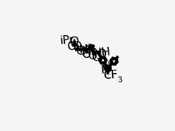 Cc1ccc(-c2cc(C(F)(F)F)nn2-c2ccc(S(=O)(=O)NC(=O)[C@@H]3CCN3/[N+]([O-])=N/OC(C)OC(=O)OC(C)C)cc2)cc1